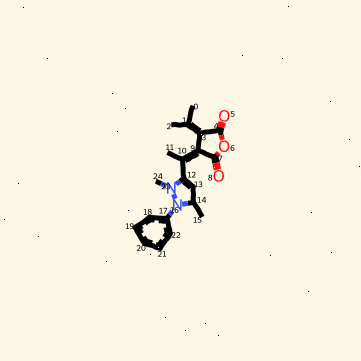 CC(C)=C1C(=O)OC(=O)C1=C(C)C1=CC(C)N(c2ccccc2)N1C